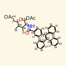 CC(=O)OCC1OC(OC(C)=O)C(NC(=O)c2ccc(C(=C(c3ccccc3)c3ccccc3)c3ccccc3)cc2)C(C)C1C